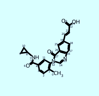 Cc1ccc(C(=O)NC2CC2)cc1-n1cnc2ccc(C=CC(=O)O)cc2c1=O